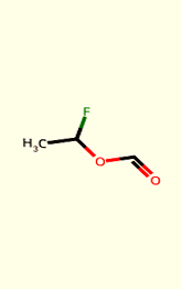 CC(F)OC=O